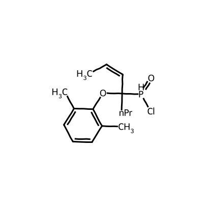 C/C=C\C(CCC)(Oc1c(C)cccc1C)[PH](=O)Cl